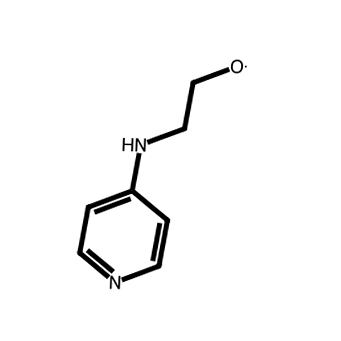 [O]CCNc1ccncc1